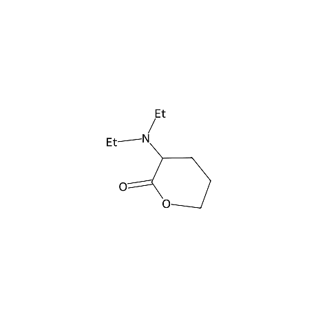 CCN(CC)C1CCCOC1=O